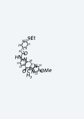 CCSc1ccc(CC(=O)Nc2ccc3c(n2)CCC(C)(c2ncc(OC)cn2)C3=O)cc1